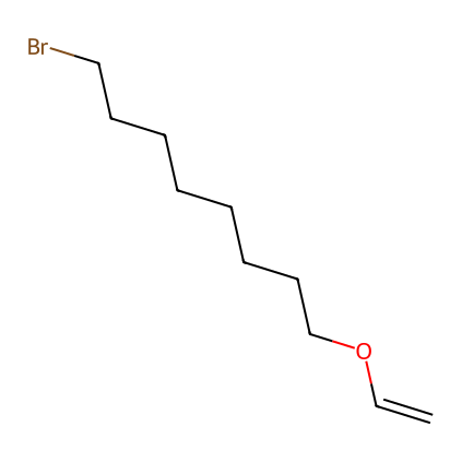 C=COCCCCCCCCBr